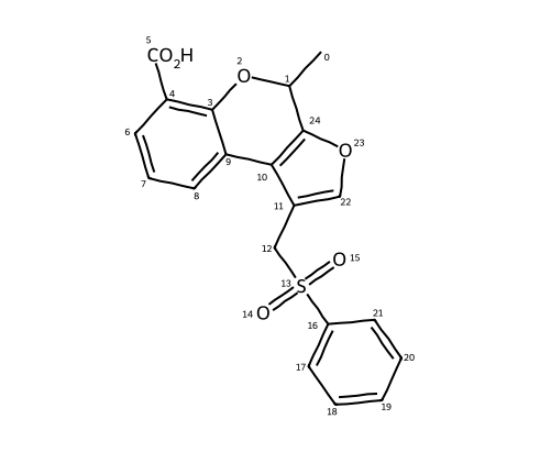 CC1Oc2c(C(=O)O)cccc2-c2c(CS(=O)(=O)c3ccccc3)coc21